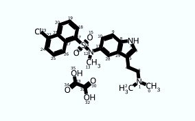 CN(C)CCc1c[nH]c2ccc(N(C)S(=O)(=O)c3cccc4c(Cl)cccc34)cc12.O=C(O)C(=O)O